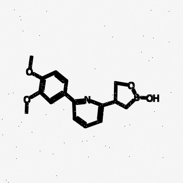 COc1ccc(-c2cccc(C3COB(O)C3)n2)cc1OC